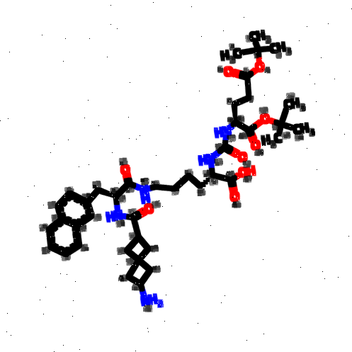 CC(C)(C)OC(=O)CC[C@H](NC(=O)N[C@@H](CCCCNC(=O)[C@H](Cc1ccc2ccccc2c1)NC(=O)C1CC2(CC(N)C2)C1)C(=O)O)C(=O)OC(C)(C)C